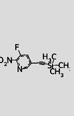 C[Si](C)(C)C#Cc1cnc([N+](=O)[O-])c(F)c1